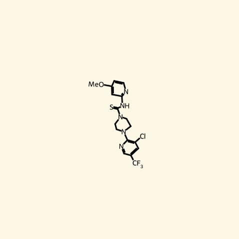 COc1ccnc(NC(=S)N2CCN(c3ncc(C(F)(F)F)cc3Cl)CC2)c1